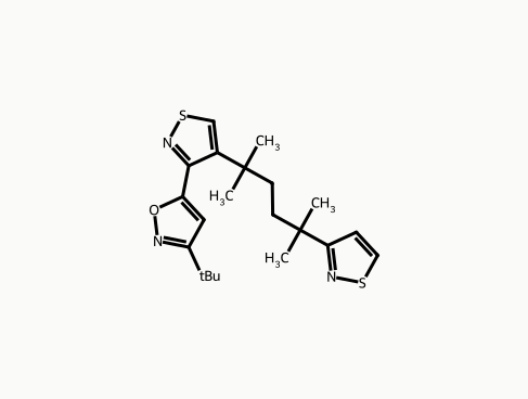 CC(C)(C)c1cc(-c2nscc2C(C)(C)CCC(C)(C)c2ccsn2)on1